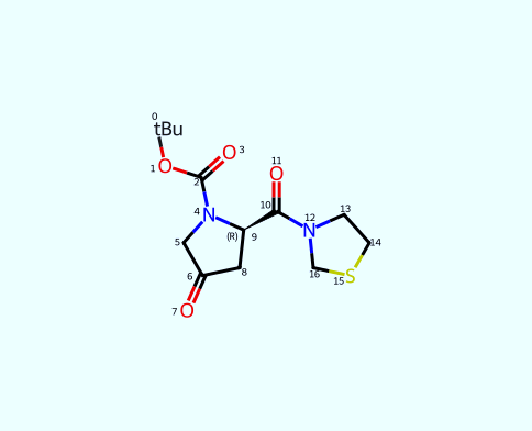 CC(C)(C)OC(=O)N1CC(=O)C[C@@H]1C(=O)N1CCSC1